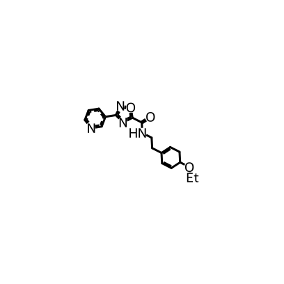 CCOC1C=CC(CCNC(=O)c2nc(-c3cccnc3)no2)=CC1